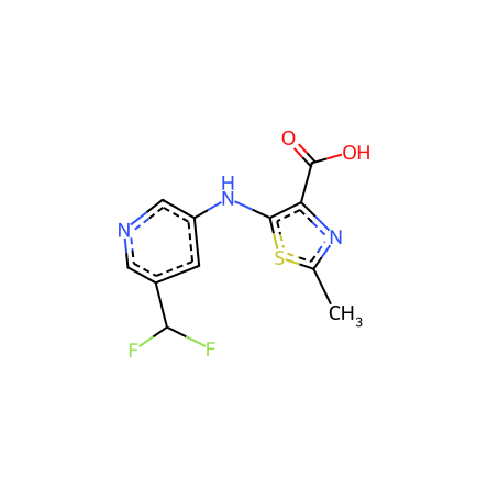 Cc1nc(C(=O)O)c(Nc2cncc(C(F)F)c2)s1